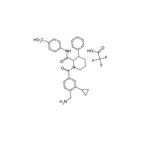 NCc1ccc(C(=O)N2CCCC(c3ccccc3)C2C(=O)Nc2ccc(C(=O)O)cc2)cc1C1CC1.O=C(O)C(F)(F)F